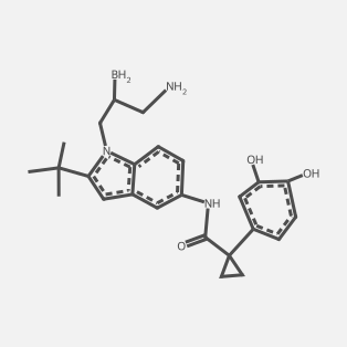 BC(CN)Cn1c(C(C)(C)C)cc2cc(NC(=O)C3(c4ccc(O)c(O)c4)CC3)ccc21